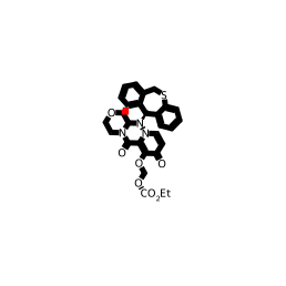 CCOC(=O)OCOc1c2n(ccc1=O)N([C@@H]1c3ccccc3SCc3cccc(F)c31)C1COCCN1C2=O